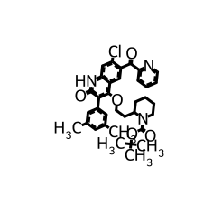 Cc1cc(C)cc(-c2c(OCCC3CCCCN3C(=O)OC(C)(C)C)c3cc(C(=O)c4ccccn4)c(Cl)cc3[nH]c2=O)c1